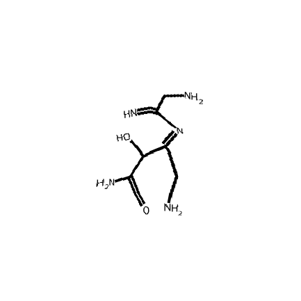 N=C(CN)N=C(CN)C(O)C(N)=O